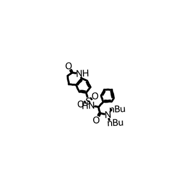 CCCCN(CCCC)C(=O)C(NS(=O)(=O)c1ccc2c(c1)CCC(=O)N2)c1ccccc1